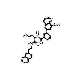 CSCCC(NC(=O)c1cccc(-c2cc(O)c3ncccc3c2)c1)C(=O)NCCc1ccc2ccccc2c1